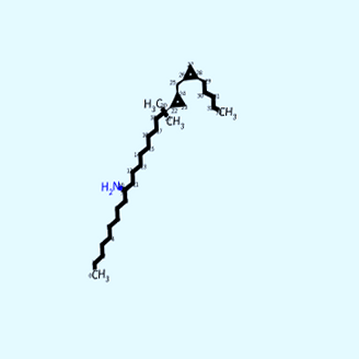 CCCCCCCCCC(N)CCCCCCCCC(C)(C)[C@H]1C[C@@H]1C[C@H]1C[C@H]1CCCCC